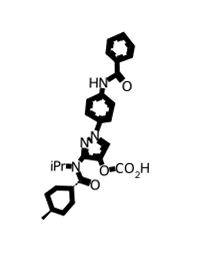 CC(C)N(c1nn(-c2ccc(NC(=O)c3ccccc3)cc2)cc1OC(=O)O)C(=O)[C@H]1CC[C@H](C)CC1